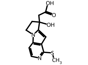 CSc1nccc2c1cc1n2CCC1(O)CC(=O)O